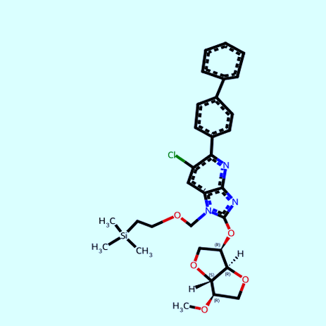 CO[C@@H]1CO[C@H]2[C@H]1OC[C@H]2Oc1nc2nc(-c3ccc(-c4ccccc4)cc3)c(Cl)cc2n1COCC[Si](C)(C)C